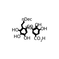 CCCCCCCCCCCCc1c(C(=O)O)cc(O)c(O)c1O.O=C(O)c1cc(O)c(O)c(O)c1